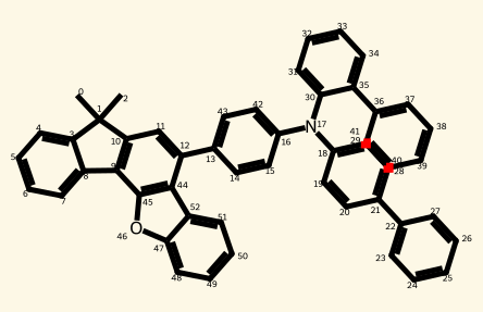 CC1(C)c2ccccc2-c2c1cc(-c1ccc(N(c3ccc(-c4ccccc4)cc3)c3ccccc3-c3ccccc3)cc1)c1c2oc2ccccc21